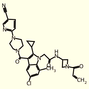 C=CC(=O)N1CC(NC(=O)Cn2c(C3CC3)c(C(=O)N3CCN(c4ccc(C#N)cn4)CC3)c3cc(Cl)cc(C)c32)C1